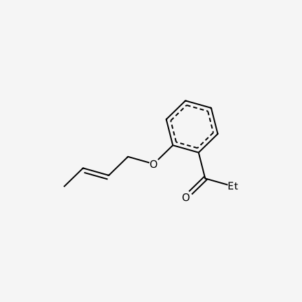 CC=CCOc1ccccc1C(=O)CC